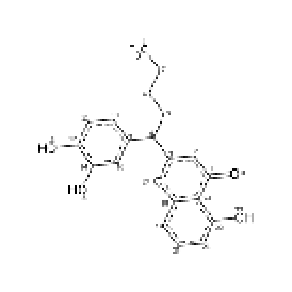 O=c1cc(C(CCCC(F)(F)F)c2ccc(O)c(O)c2)oc2cccc(O)c12